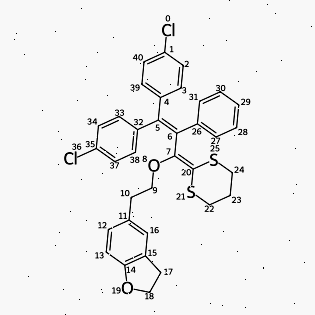 Clc1ccc(C(=C(C(OCCc2ccc3c(c2)CCO3)=C2SCCCS2)c2ccccc2)c2ccc(Cl)cc2)cc1